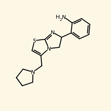 Nc1ccccc1C1CN2C(CN3CCCC3)=CSC2=N1